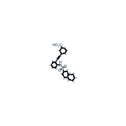 O=C(O)c1cccc(C#Cc2ccccc2NS(=O)(=O)c2ccc3ccccc3c2)c1